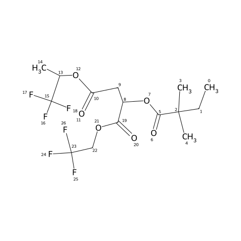 CCC(C)(C)C(=O)OC(CC(=O)OC(C)C(F)(F)F)C(=O)OCC(F)(F)F